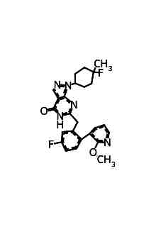 COc1ncccc1-c1ccc(F)cc1Cc1nc2c(cnn2C2CCC(C)(F)CC2)c(=O)[nH]1